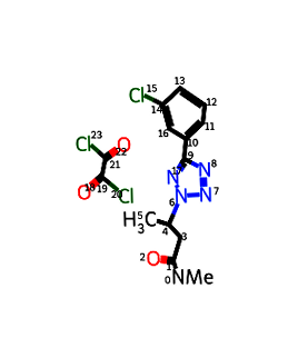 CNC(=O)CC(C)n1nnc(-c2cccc(Cl)c2)n1.O=C(Cl)C(=O)Cl